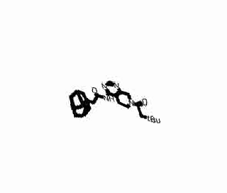 CC(C)(C)CC(=O)N1CCc2c(ncnc2NC(=O)CC23CC4CC(CC(C4)C2)C3)C1